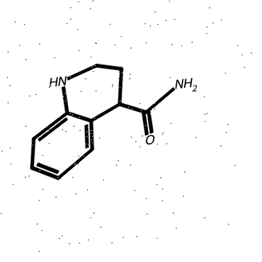 NC(=O)C1CCNc2ccccc21